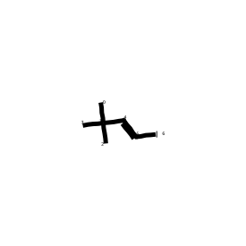 CC(C)(C)C=CI